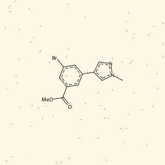 COC(=O)c1cc(Br)cc(-c2cnn(C)c2)c1